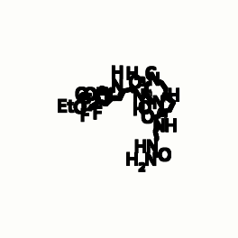 CCOP(=O)(O)C(F)(F)c1ccc2[nH]c(C(=O)N[C@H]3CN(C)CC[C@H]4CC[C@@H](C(=O)NCCNC(N)=O)N4C3=O)cc2c1